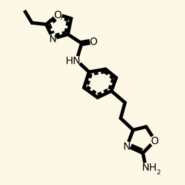 CCc1nc(C(=O)Nc2ccc(CCC3COC(N)=N3)cc2)co1